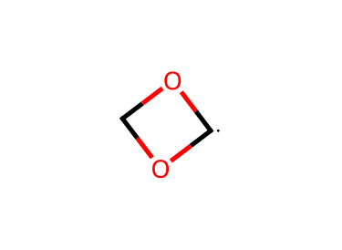 [CH]1OCO1